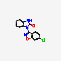 O=c1[nH]c2ccccc2n1-c1noc2cc(Cl)ccc12